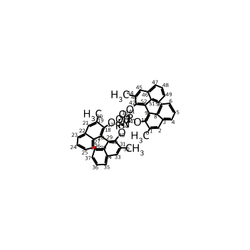 Cc1cc2ccccc2c2c1OP(=O)(N=P1(O)Oc3c(C)cc4ccccc4c3-c3c(c(C)cc4ccccc34)O1)Oc1c(C)cc3ccccc3c1-2